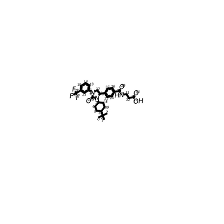 CC(C)(C)C1CCC(N2C(=O)N(c3cccc(C(F)(F)F)c3)CC2c2ccc(C(=O)NCCC(=O)O)cc2)CC1